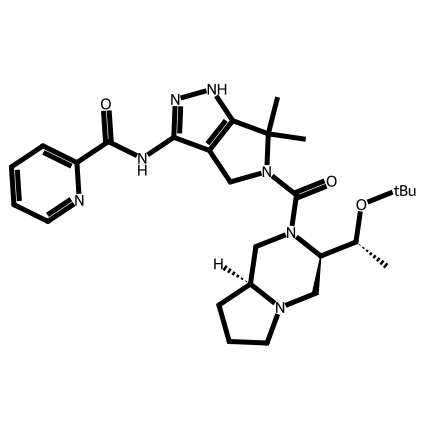 C[C@@H](OC(C)(C)C)[C@H]1CN2CCC[C@H]2CN1C(=O)N1Cc2c(NC(=O)c3ccccn3)n[nH]c2C1(C)C